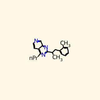 CCCc1nc(C(C)Cc2ccccc2C)nc2cnccc12